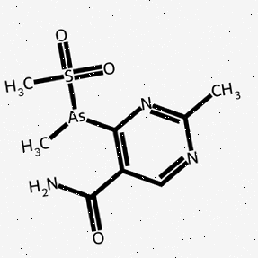 Cc1ncc(C(N)=O)c([As](C)S(C)(=O)=O)n1